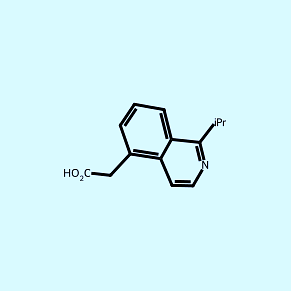 CC(C)c1nccc2c(CC(=O)O)cccc12